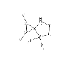 CC1C(C)C12NCCC2(F)F